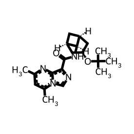 Cc1cc(C)n2cnc(C(=O)N[C@@H]3[C@@H]4C[C@@H](OC(C)(C)C)C[C@H]3C4)c2n1